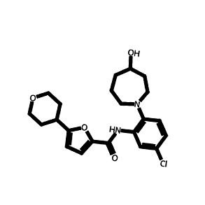 O=C(Nc1cc(Cl)ccc1N1CCCC(O)CC1)c1ccc(C2CCOCC2)o1